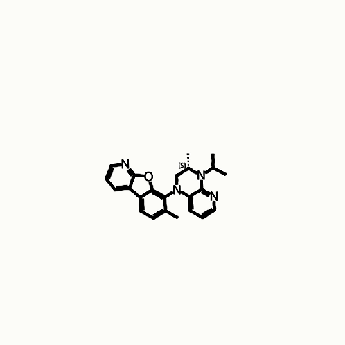 Cc1ccc2c(oc3ncccc32)c1N1C[C@H](C)N(C(C)C)c2ncccc21